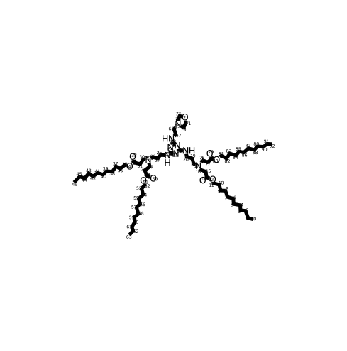 CCCCCCCCCCCCOC(=O)CCN(CCCNc1nc(NCCCN(CCC(=O)OCCCCCCCCCCCC)CCC(=O)OCCCCCCCCCCCC)nc(NCCN2CCOCC2)n1)CCC(=O)OCCCCCCCCCCCC